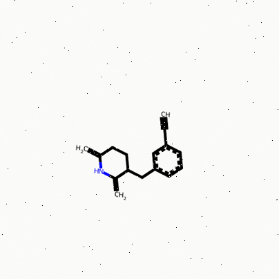 C#Cc1cccc(CC2CCC(=C)NC2=C)c1